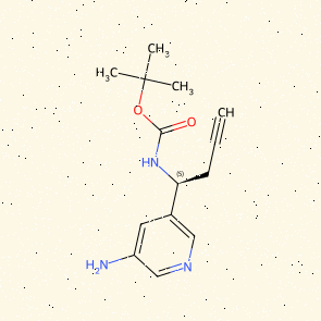 C#CC[C@H](NC(=O)OC(C)(C)C)c1cncc(N)c1